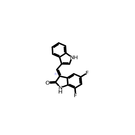 O=C1Nc2c(F)cc(F)cc2/C1=C\c1c[nH]c2ccccc12